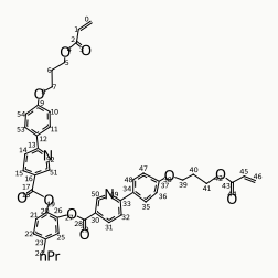 C=CC(=O)OCCCOc1ccc(-c2ccc(C(=O)Oc3ccc(CCC)cc3OC(=O)c3ccc(-c4ccc(OCCCOC(=O)C=C)cc4)nc3)cn2)cc1